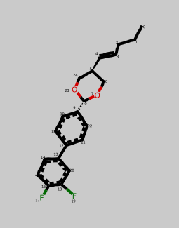 CCCC=C[C@H]1CO[C@H](c2ccc(-c3ccc(F)c(F)c3)cc2)OC1